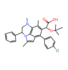 Cc1c([C@H](OC(C)(C)C)C(=O)O)c(-c2ccc(Cl)cc2)c2cc(C)n3c2c1N(C)CC3c1ccccc1